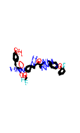 Cc1cc(Oc2ccccc2F)ccc1-n1ncc(C(=O)c2cc3cc(OCC(F)F)c(N4C(=O)N[C@@H](Cc5ccc(O)cc5)C4=O)cc3[nH]2)c1N